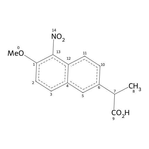 COc1ccc2cc(C(C)C(=O)O)ccc2c1[N+](=O)[O-]